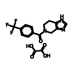 O=C(O)C(=O)O.O=C(c1ccc(C(F)(F)F)cc1)N1CCc2[nH]cnc2C1